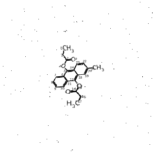 CCC(=O)Oc1c2ccccc2c(OC(=O)CC)c2cc(C)ccc12